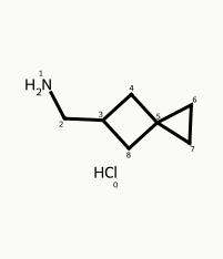 Cl.NCC1CC2(CC2)C1